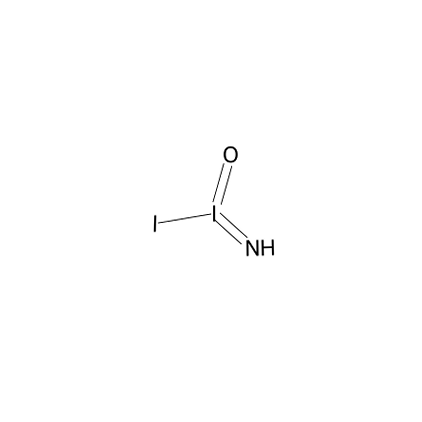 N=I(=O)I